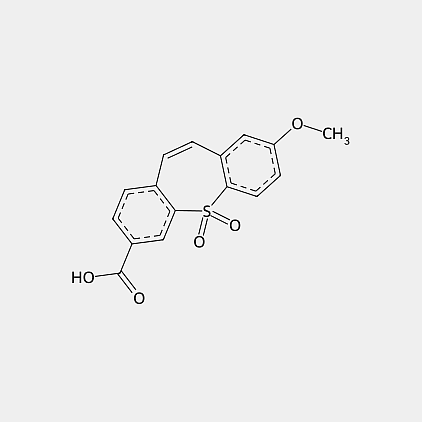 COc1ccc2c(c1)C=Cc1ccc(C(=O)O)cc1S2(=O)=O